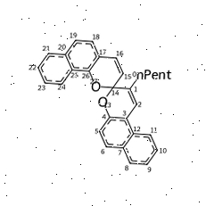 CCCCCC1=Cc2c(ccc3ccccc23)OC12C=Cc1ccc3ccccc3c1O2